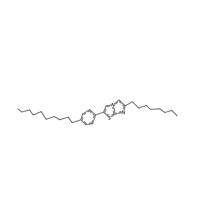 CCCCCCCCCCc1ccc(-c2cn3cc(CCCCCCCC)nc3s2)cc1